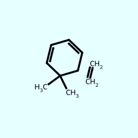 C=C.CC1(C)C=CC=CC1